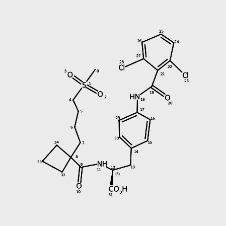 CS(=O)(=O)CCCCC1(C(=O)N[C@@H](Cc2ccc(NC(=O)c3c(Cl)cccc3Cl)cc2)C(=O)O)CCC1